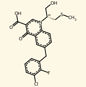 CSC[C@@H](CO)n1cc(C(=O)O)c(=O)c2cc(Cc3cccc(Cl)c3F)ccc21